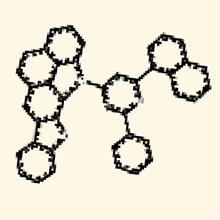 c1ccc(-c2nc(-c3cccc4ccccc34)cc(-n3c4cccc5ccc6cc7c8ccccc8sc7c3c6c54)n2)cc1